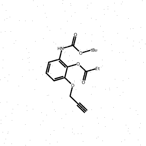 C#CCOc1cccc(NC(=O)OC(C)(C)C)c1OC(=O)CC